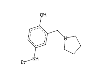 CCNc1ccc(O)c(CN2CCCC2)c1